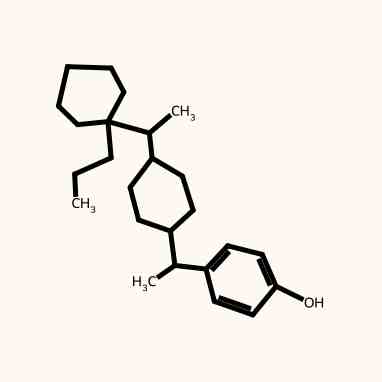 CCCC1(C(C)C2CCC(C(C)c3ccc(O)cc3)CC2)CCCCC1